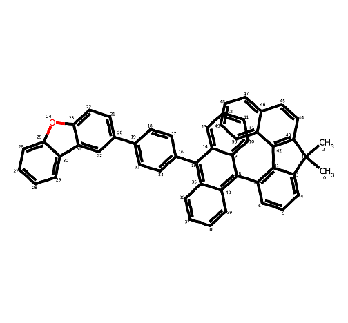 CC1(C)c2cccc(-c3c4ccccc4c(-c4ccc(-c5ccc6oc7ccccc7c6c5)cc4)c4ccccc34)c2-c2c1ccc1ccccc21